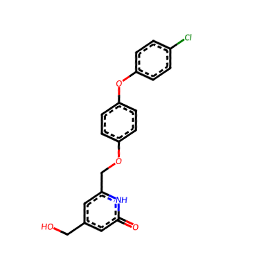 O=c1cc(CO)cc(COc2ccc(Oc3ccc(Cl)cc3)cc2)[nH]1